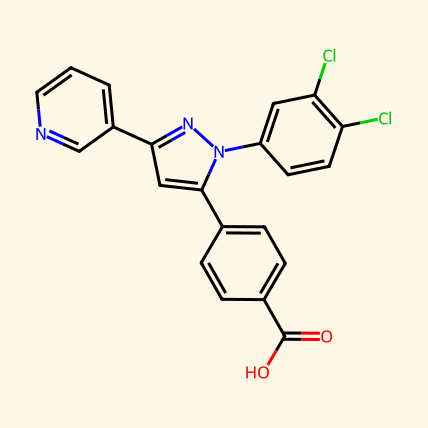 O=C(O)c1ccc(-c2cc(-c3cccnc3)nn2-c2ccc(Cl)c(Cl)c2)cc1